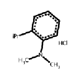 CC(C)c1ccccc1N(C)C.Cl